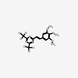 COc1cc(/C=C/c2nc(C(Cl)(Cl)Cl)nc(C(Cl)(Cl)Cl)n2)cc(OC)c1OC